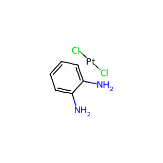 Nc1ccccc1N.[Cl][Pt][Cl]